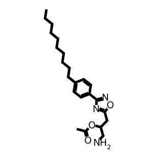 CCCCCCCCCCc1ccc(-c2noc(CC(CN)OC(C)=O)n2)cc1